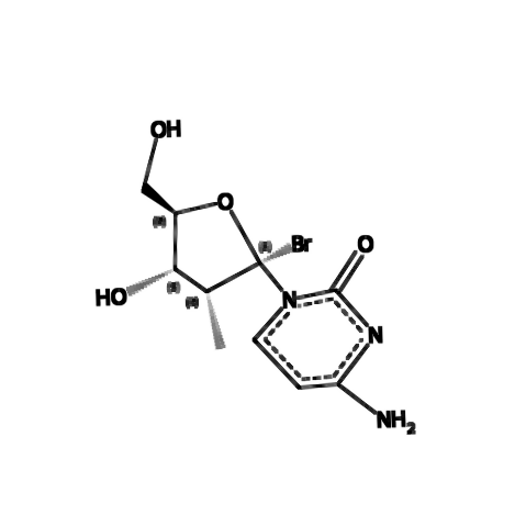 C[C@@H]1[C@H](O)[C@@H](CO)O[C@@]1(Br)n1ccc(N)nc1=O